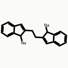 [Na][CH]1C(CCC2=Cc3ccccc3[CH]2[Na])=Cc2ccccc21